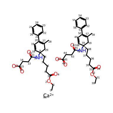 CCOC(=O)CCCC[C@@]1(NC(=O)CCC(=O)[O-])C=CC(c2ccccc2)=C(C)C1.CCOC(=O)CCCC[C@@]1(NC(=O)CCC(=O)[O-])C=CC(c2ccccc2)=C(C)C1.[Ca+2]